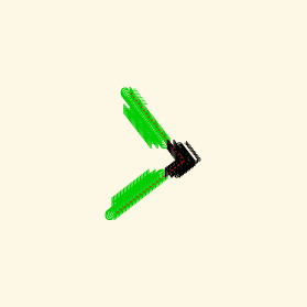 Cl.Cl.Cl.Cl.Cl.Cl.Cl.Cl.Cl.Cl.Cl.Cl.Cl.Cl.Cl.Cl.Cl.Cl.Cl.Cl.Cl.Cl.Cl.Cl.Cl.Cl.Cl.Cl.Cl.Cl.Cl.Cl.Cl.Cl.Cl.Cl.Cl.Cl.Cl.Cl.Cl.Cl.Cl.Cl.Cl.[Cl-].[Cl-].[Cl-].[Cl-].[Cl-].[Cl-].[Cl-].[Cl-].[Cl-].[Cl-].[Cl-].[Cl-].[Cl-].[Cl-].[Cl-].[Cl-].[Cl-].[Cl-].[Cl-].[Cl-].[Na+].[Na+].[Na+].[Na+].[Na+].[Na+].[Na+].[Na+].[Na+].[Na+].[Na+].[Na+].[Na+].[Na+].[Na+].[Na+].[Na+].[Na+].[Na+].[Na+]